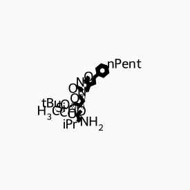 CCCCCc1ccc(-c2cc3cn([C@H]4C[C@@H](OC(=O)C(N)C(C)C)[C@@H](CO[Si](C)(C)C(C)(C)C)O4)c(=O)nc3o2)cc1